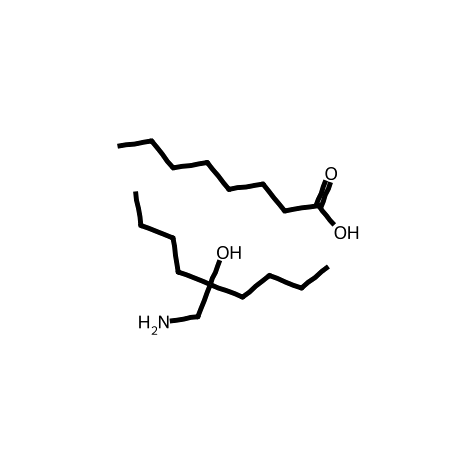 CCCCC(O)(CN)CCCC.CCCCCCCC(=O)O